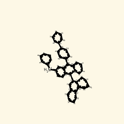 c1ccc([SiH2]c2ccc3c(-c4cc5ccccc5c5ccccc45)c4ccccc4c(-c4ccc(-c5ccccc5)cc4)c3c2)cc1